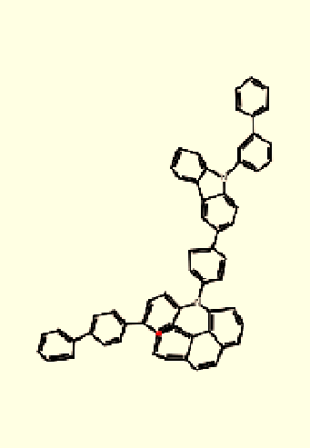 c1ccc(-c2ccc(-c3ccc(N(c4ccc(-c5ccc6c(c5)c5ccccc5n6-c5cccc(-c6ccccc6)c5)cc4)c4cccc5ccc6ccccc6c45)cc3)cc2)cc1